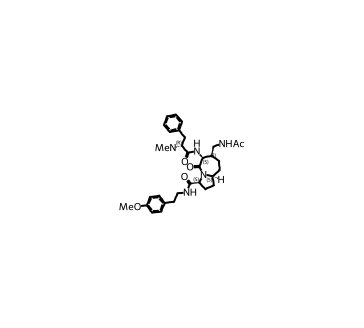 CN[C@H](Cc1ccccc1)C(=O)N[C@@H]1C(=O)N2[C@@H](CC[C@@H]1CNC(C)=O)CC[C@H]2C(=O)NCCc1ccc(OC)cc1